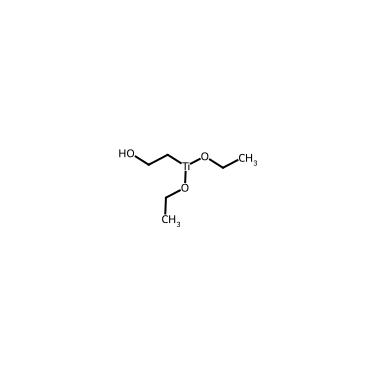 CC[O][Ti]([CH2]CO)[O]CC